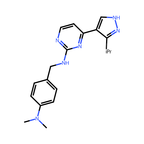 CC(C)c1n[nH]cc1-c1ccnc(NCc2ccc(N(C)C)cc2)n1